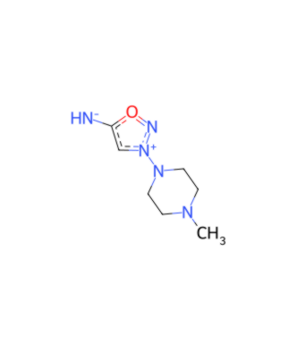 CN1CCN([n+]2cc([NH-])on2)CC1